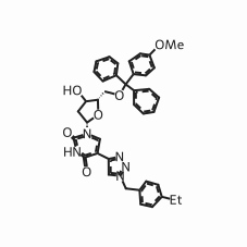 CCc1ccc(Cn2cc(-c3cn([C@@H]4CC(O)[C@H](COC(c5ccccc5)(c5ccccc5)c5ccc(OC)cc5)O4)c(=O)[nH]c3=O)nn2)cc1